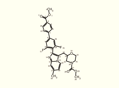 COC(=O)c1ccc(-c2cc(F)c(-c3nc4cc(C)ccn4c3CC3CN(C(=O)OC)CCO3)c(F)c2)nc1